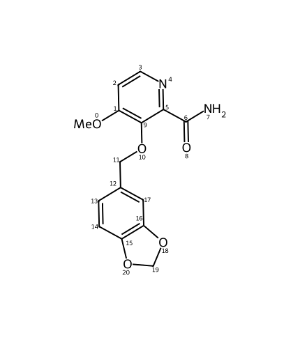 COc1ccnc(C(N)=O)c1OCc1ccc2c(c1)OCO2